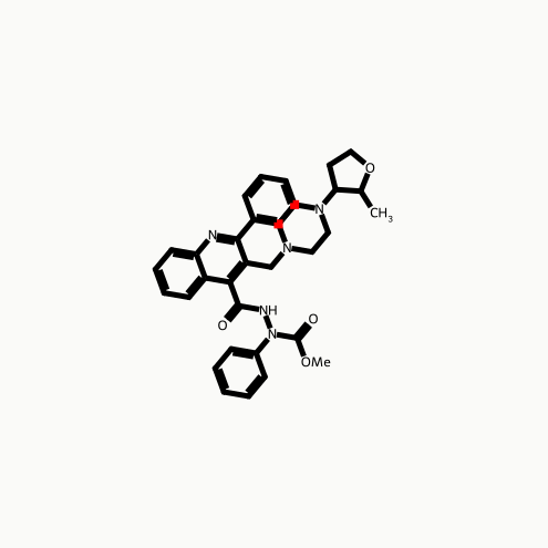 COC(=O)N(NC(=O)c1c(CN2CCN(C3CCOC3C)CC2)c(-c2ccccc2)nc2ccccc12)c1ccccc1